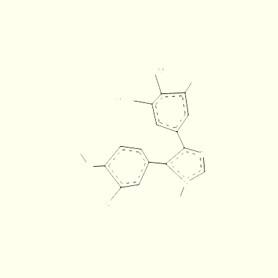 CCOc1ccc(-c2c(-c3cc(Cl)c(OC)c(OC)c3)ncn2C)cc1[N+](=O)[O-]